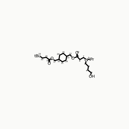 CC(C)N(CCCCO)CCC(=O)OCC1CCC(COC(=O)CCC(C)(C)C)CC1